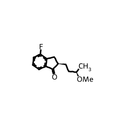 CO[C@H](C)CC[C@@H]1Cc2c(F)cccc2C1=O